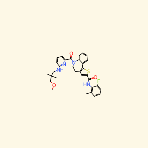 COCC(C)(C)CNc1cccc(C(=O)N2CCc3cc(C(=O)Nc4c(C)cccc4F)sc3-c3ccccc32)n1